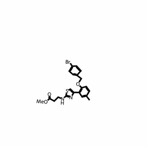 COC(=O)CCNc1nc(-c2cc(C)ccc2OCc2ccc(Br)cc2)cs1